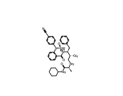 C[C@H](NC[C@@H](O)[C@H](Cc1ccccc1)NC(=O)c1ccccc1N(c1ccc(C#N)cc1)S(C)(=O)=O)C(=O)NC1CCCCC1